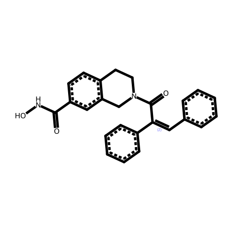 O=C(NO)c1ccc2c(c1)CN(C(=O)/C(=C\c1ccccc1)c1ccccc1)CC2